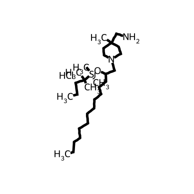 CCCCCCCCCCCCC(CN1CCC(C)(CN)CC1)O[Si](C)(C)C(C)(C)CCC.Cl